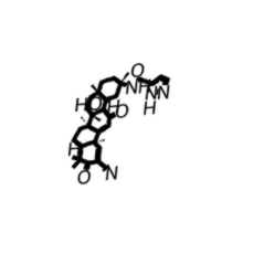 CC1(C)C(=O)C(C#N)=C[C@]2(C)C3=CC(=O)[C@]4(O)[C@@H]5C[C@@](C)(NC(=O)c6ccn[nH]6)CC[C@@]5(C)CC[C@@]4(C)[C@]3(C)CC[C@@H]12